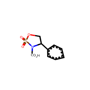 O=C(O)N1C(c2ccccc2)COS1(=O)=O